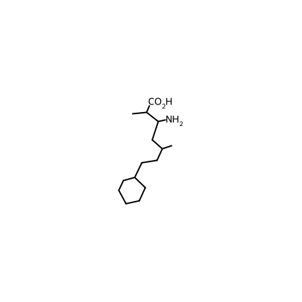 CC(CCC1CCCCC1)CC(N)C(C)C(=O)O